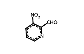 O=[C]c1ncccc1[N+](=O)[O-]